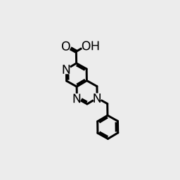 O=C(O)c1cc2c(cn1)N=CN(Cc1ccccc1)C2